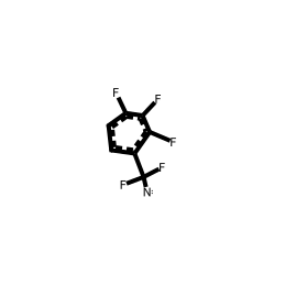 [N]C(F)(F)c1ccc(F)c(F)c1F